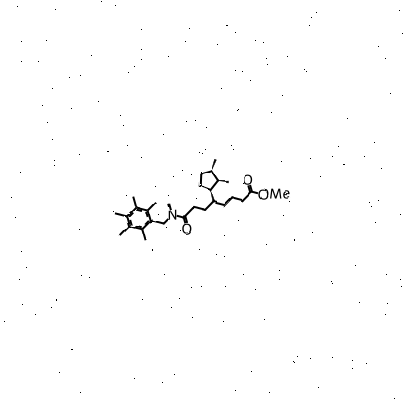 COC(=O)CCCC(CCC(=O)N(C)Cc1c(C)c(C)c(C)c(C)c1C)[C@H]1CC[C@@H](C)[C@H]1C